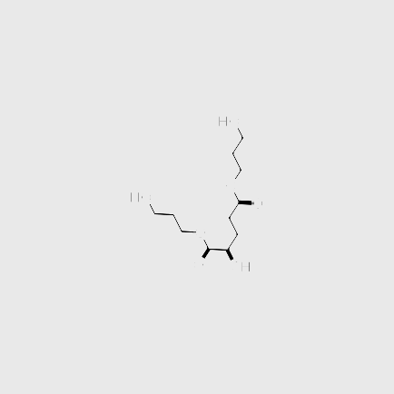 C=C(CCC(=O)OCCCO)C(=O)OCCCO